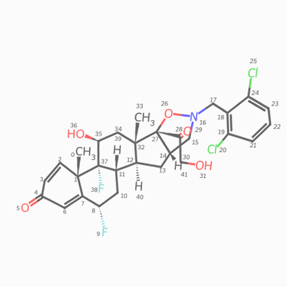 C[C@]12C=CC(=O)C=C1[C@@H](F)C[C@H]1[C@@H]3C[C@H]4CN(Cc5c(Cl)cccc5Cl)O[C@@]4(C(=O)CO)[C@@]3(C)C[C@H](O)[C@@]12F